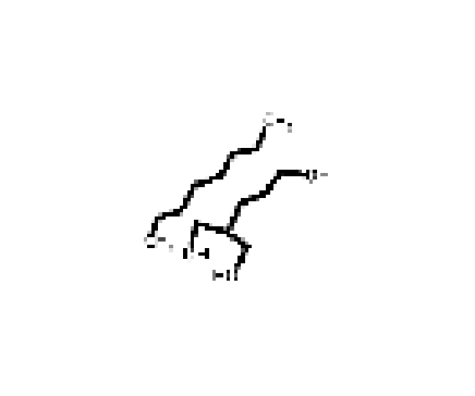 CCCCCCCC.OCCCC(CO)CO